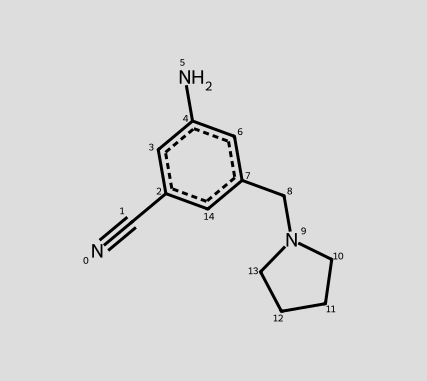 N#Cc1cc(N)cc(CN2CCCC2)c1